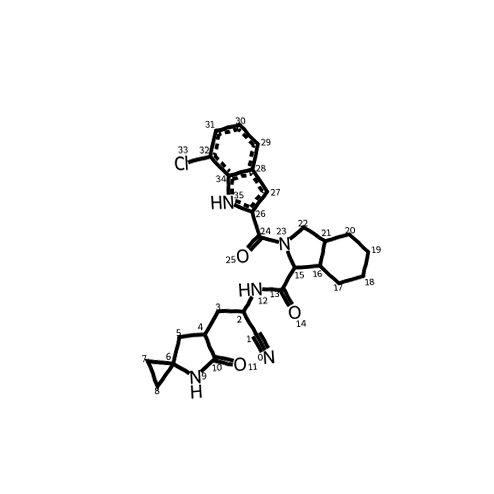 N#CC(CC1CC2(CC2)NC1=O)NC(=O)C1C2CCCCC2CN1C(=O)c1cc2cccc(Cl)c2[nH]1